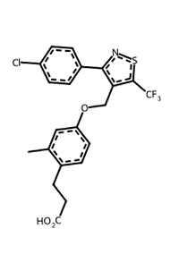 Cc1cc(OCc2c(-c3ccc(Cl)cc3)nsc2C(F)(F)F)ccc1CCC(=O)O